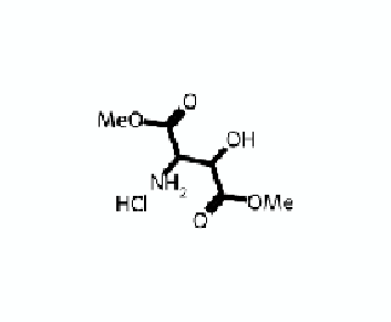 COC(=O)C(N)C(O)C(=O)OC.Cl